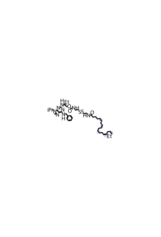 CC/C=C\C/C=C\C/C=C\C/C=C\C/C=C\CCCC(=O)NCCSSCCNC(=O)OC[C@@H](CC)Nc1nc(NCc2ccccc2)c2ncn(C(C)C)c2n1